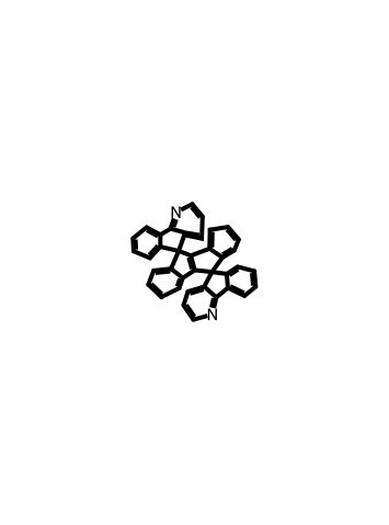 c1ccc2c(c1)C1=C(c3ccccc3C13c1ccccc1-c1ncccc13)C21c2ccccc2-c2ncccc21